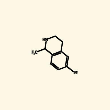 CC(C)c1ccc2c(c1)CCNC2C(F)(F)F